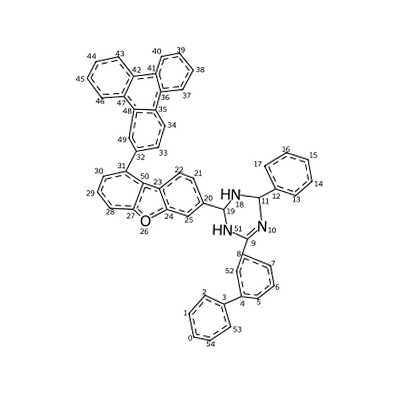 c1ccc(-c2cccc(C3=NC(c4ccccc4)NC(c4ccc5c(c4)oc4cccc(-c6ccc7c8ccccc8c8ccccc8c7c6)c45)N3)c2)cc1